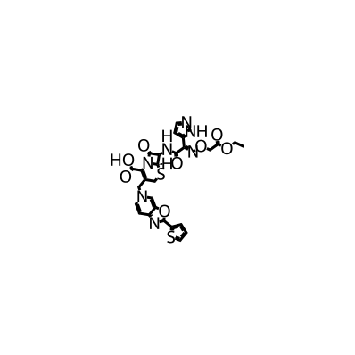 CCOC(=O)CO/N=C(/C(=O)NC1C(=O)N2C(C(=O)O)=C(CN3C=CC4=NC(c5cccs5)OC4=C3)CS[C@H]12)c1ccn[nH]1